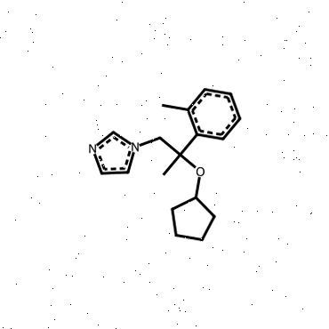 Cc1ccccc1C(C)(Cn1ccnc1)OC1CCCC1